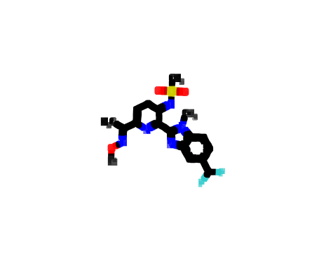 CCON=C(C)C1=CCC(=NS(C)(=O)=O)C(c2nc3cc(C(F)F)ccc3n2C)=N1